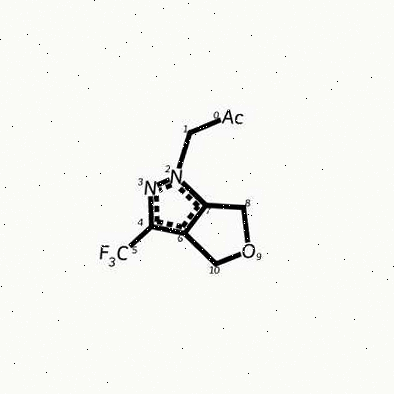 CC(=O)Cn1nc(C(F)(F)F)c2c1COC2